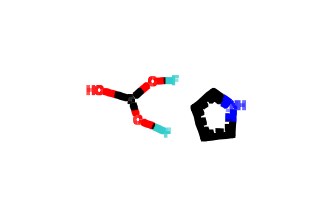 OB(OF)OF.c1cc[nH]c1